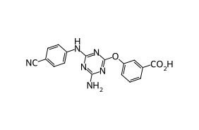 N#Cc1ccc(Nc2nc(N)nc(Oc3cccc(C(=O)O)c3)n2)cc1